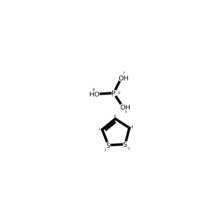 C1=CSSC1.OP(O)O